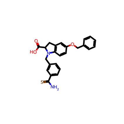 NC(=S)c1cccc(CN2c3ccc(OCc4ccccc4)cc3CC2C(=O)O)c1